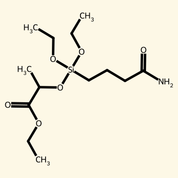 CCOC(=O)C(C)O[Si](CCCC(N)=O)(OCC)OCC